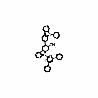 CC1Cc2c(c3ccccc3n2-c2nc(-c3ccccc3)cc(-c3ccccc3)n2)C=C1c1ccc2c3ccccc3n(-c3ccccc3)c2c1